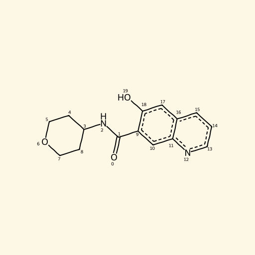 O=C(NC1CCOCC1)c1cc2ncccc2cc1O